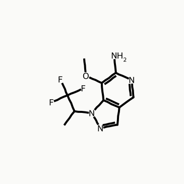 COc1c(N)ncc2cnn(C(C)C(F)(F)F)c12